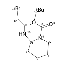 CC(C)(C)OC(=O)N1CCCCC1NCCBr